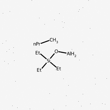 CCCC.CC[Si](CC)(CC)[O][AlH2]